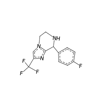 Fc1ccc(C2NCCn3cc(C(F)(F)F)nc32)cc1